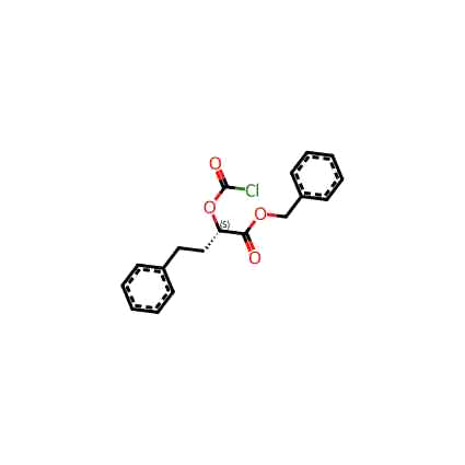 O=C(Cl)O[C@@H](CCc1ccccc1)C(=O)OCc1ccccc1